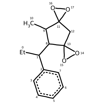 CCC(c1ccccc1)C1C(C)C2(CC13OO3)OO2